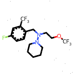 Fc1ccc(CN(CCOC(F)(F)F)N2CCCCC2)c(C(F)(F)F)c1